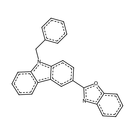 c1ccc(Cn2c3ccccc3c3cc(-c4nc5ccccc5o4)ccc32)cc1